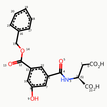 O=C(O)C[C@H](NC(=O)c1cc(O)cc(C(=O)OCc2ccccc2)c1)C(=O)O